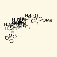 COc1ccc(C2OCC(C)C([C@@H](C)C(=O)CC[C@H](C)C[C@@H](C)[C@@H](O[Si](C)(C)C(C)(C)C)[C@@H](C)/C=C\[C@H](C[C@H](O[Si](C)(C)C(C)(C)C)[C@@H](C)/C=C/COC(c3ccccc3)(c3ccccc3)c3ccccc3)O[Si](C)(C)C(C)(C)C)O2)cc1